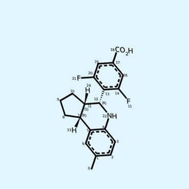 Cc1ccc2c(c1)[C@@H]1CCC[C@@H]1[C@H](c1c(F)cc(C(=O)O)cc1F)N2